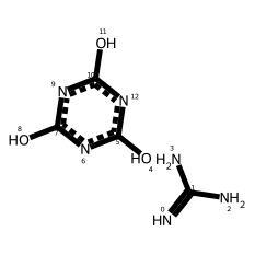 N=C(N)N.Oc1nc(O)nc(O)n1